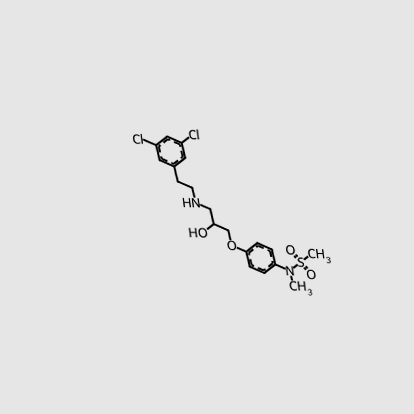 CN(c1ccc(OCC(O)CNCCc2cc(Cl)cc(Cl)c2)cc1)S(C)(=O)=O